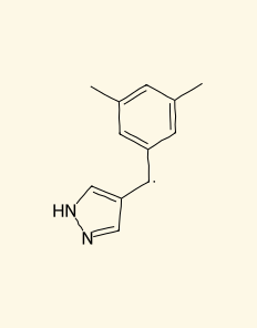 Cc1cc(C)cc([CH]c2cn[nH]c2)c1